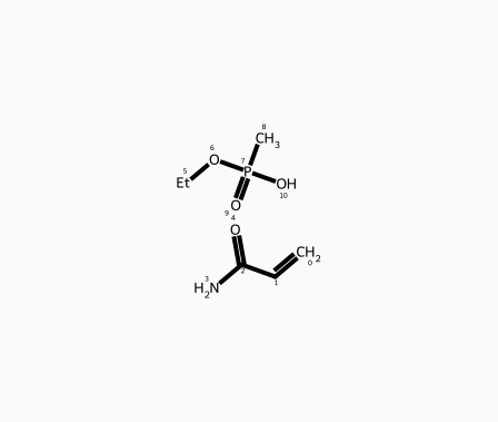 C=CC(N)=O.CCOP(C)(=O)O